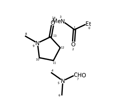 CCC(=O)NC.CN(C)C=O.CN1CCCC1=O